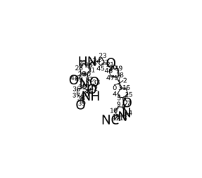 CC(C)(c1ccc(Oc2ccc(C#N)nn2)cc1)c1ccc(OC2CC(Nc3ccc4c(c3)C(=O)N(C3CCC(=O)NC3=O)C4=O)C2)cc1